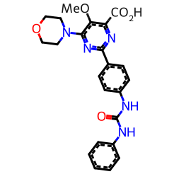 COc1c(C(=O)O)nc(-c2ccc(NC(=O)Nc3ccccc3)cc2)nc1N1CCOCC1